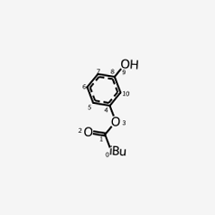 CCC(C)C(=O)Oc1cccc(O)c1